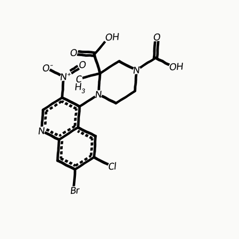 CC1(C(=O)O)CN(C(=O)O)CCN1c1c([N+](=O)[O-])cnc2cc(Br)c(Cl)cc12